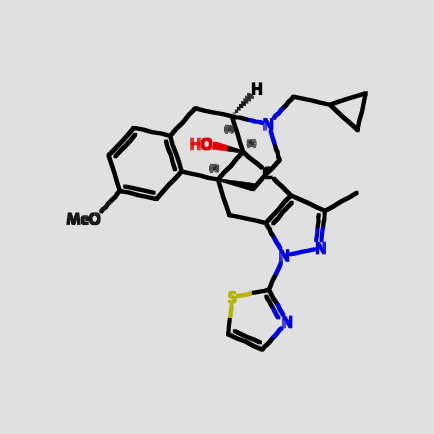 COc1ccc2c(c1)[C@]13CCN(CC4CC4)[C@H](C2)[C@]1(O)Cc1c(C)nn(-c2nccs2)c1C3